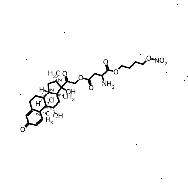 C[C@H]1C[C@H]2[C@@H]3CCC4=CC(=O)C=C[C@]4(C)[C@@]3(Cl)[C@@H](O)C[C@]2(C)C1(O)C(=O)COC(=O)CC(N)C(=O)OCCCCO[N+](=O)[O-]